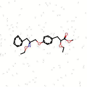 CCON=C(COc1ccc(CC(OCC)C(=O)OC)cc1)Cc1ccccc1